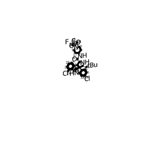 CC(C)(C)C[C@H]1N[C@@H](C(=O)NC2CCN(S(=O)(=O)C(F)(F)F)CC2)[C@H](c2cccc(Cl)c2F)[C@@]12C(=O)Nc1cc(Cl)ccc12